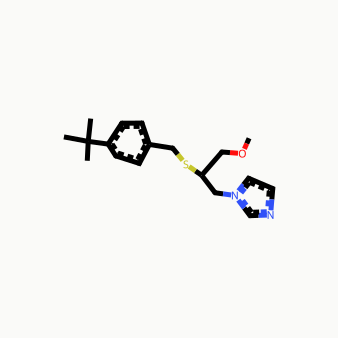 COCC(Cn1ccnc1)SCc1ccc(C(C)(C)C)cc1